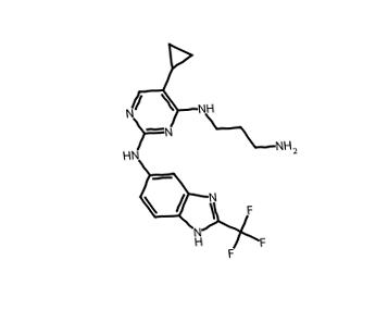 NCCCNc1nc(Nc2ccc3[nH]c(C(F)(F)F)nc3c2)ncc1C1CC1